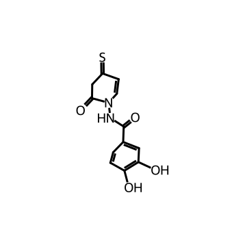 O=C(NN1C=CC(=S)CC1=O)c1ccc(O)c(O)c1